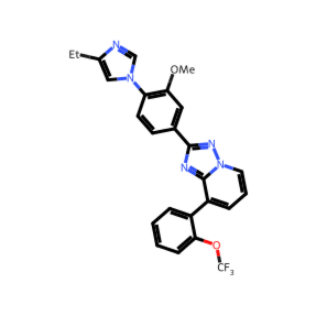 CCc1cn(-c2ccc(-c3nc4c(-c5ccccc5OC(F)(F)F)cccn4n3)cc2OC)cn1